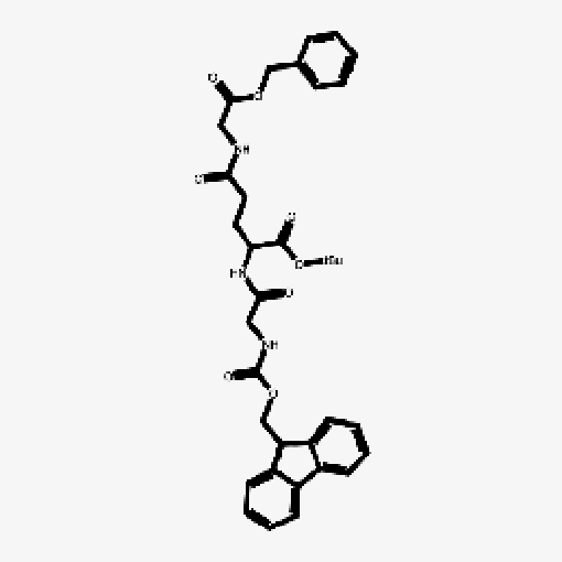 CC(C)(C)OC(=O)C(CCC(=O)NCC(=O)OCc1ccccc1)NC(=O)CNC(=O)OCC1c2ccccc2-c2ccccc21